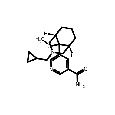 COC1(c2cncc(C(N)=O)c2)[C@@H]2CCC[C@H]1CN(CC1CC1)C2